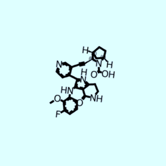 COc1c(F)cccc1Nc1c(-c2ccncc2C#C[C@H]2[C@@H]3CC[C@@H](C3)N2C(=O)O)[nH]c2c1C(=O)NCC2